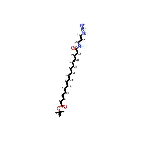 CC(C)(C)OC(=O)CCCCCCCCCCCCCCCCC(=O)NCCCN=[N+]=[N-]